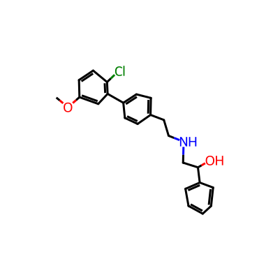 COc1ccc(Cl)c(-c2ccc(CCNCC(O)c3ccccc3)cc2)c1